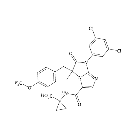 CC1(Cc2ccc(OC(F)(F)F)cc2)C(=O)N(c2cc(Cl)cc(Cl)c2)c2ncc(C(=O)NC3(C(=O)O)CC3)n21